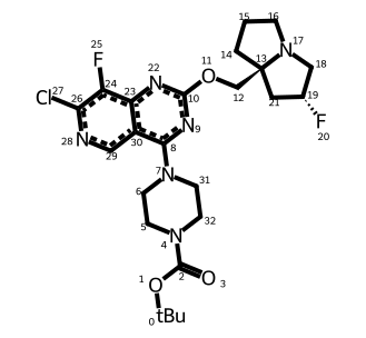 CC(C)(C)OC(=O)N1CCN(c2nc(OC[C@@]34CCCN3C[C@H](F)C4)nc3c(F)c(Cl)ncc23)CC1